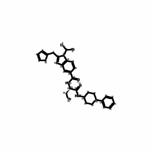 CCC(CC)n1c(Cc2cccs2)nc2cc(C(=O)N[C@@H](CC(C)C)C(=O)NC3CCN(c4ccccc4)CC3)ccc21